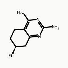 CC[C@H]1CCc2c(C)nc(N)nc2C1